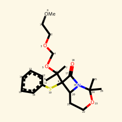 COCCOCOC(C)(C)C1(Sc2ccccc2)C(=O)N2C1CCOC2(C)C